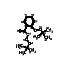 CC(C)(C)OOOC(=O)c1ccccc1OOC(C)(C)C